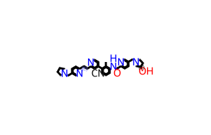 Cc1c(NC(=O)c2ccc(CN3CC[C@@H](O)C3)cn2)cccc1-c1ccnc(/C=C/c2ccc(CN3CCCC3)cn2)c1C#N